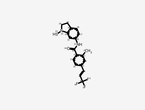 Cc1cc(/C=C/C(F)(F)F)ccc1C(=O)Nc1ccc2c(c1)N(S)CC2